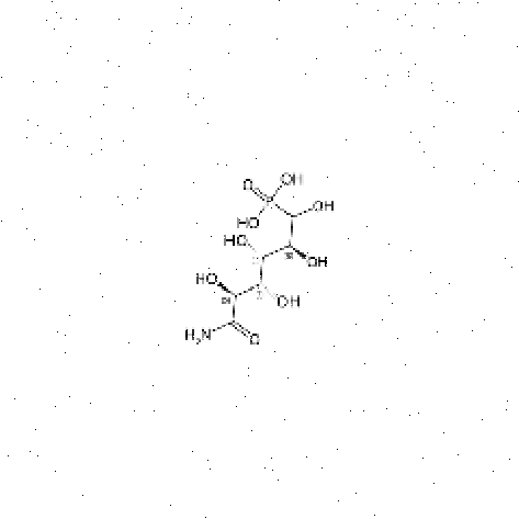 NC(=O)[C@@H](O)[C@@H](O)[C@H](O)[C@H](O)C(O)P(=O)(O)O